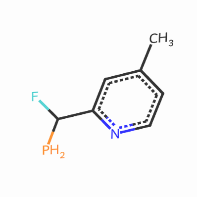 Cc1ccnc(C(F)P)c1